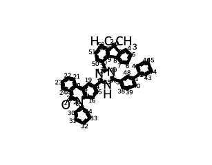 CC1(C)c2ccccc2-c2c(C3=NC(c4ccc5c(c4)c4ccccc4c(=O)n5-c4ccccc4)NC(c4cccc(-c5ccccc5)c4)=N3)cccc21